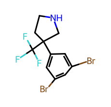 FC(F)(F)C1(c2cc(Br)cc(Br)c2)CCNC1